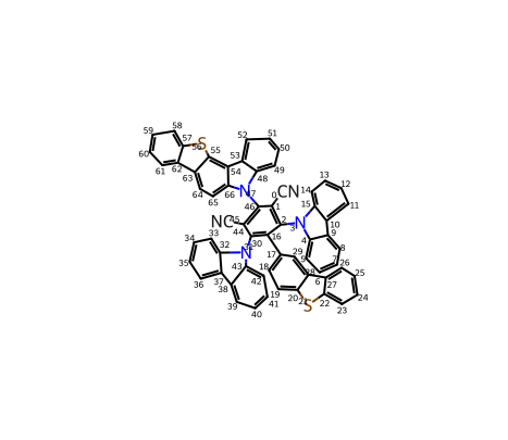 N#Cc1c(-n2c3ccccc3c3ccccc32)c(-c2ccc3sc4ccccc4c3c2)c(-n2c3ccccc3c3ccccc32)c(C#N)c1-n1c2ccccc2c2c3sc4ccccc4c3ccc21